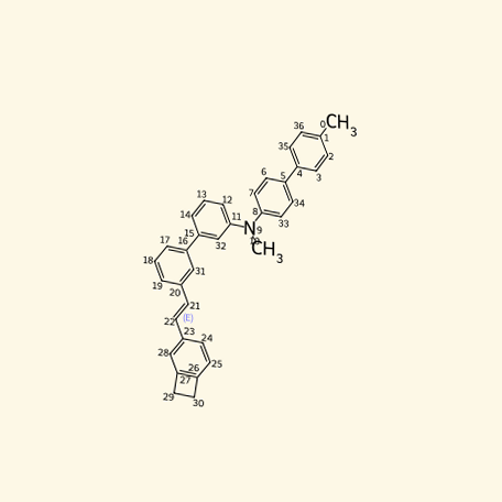 Cc1ccc(-c2ccc(N(C)c3cccc(-c4cccc(/C=C/c5ccc6c(c5)CC6)c4)c3)cc2)cc1